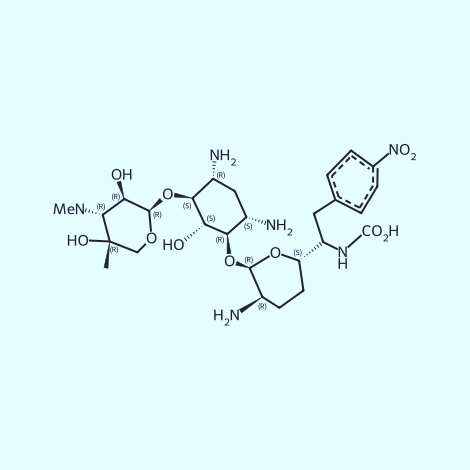 CN[C@@H]1[C@@H](O)[C@@H](O[C@@H]2[C@@H](O)[C@H](O[C@H]3O[C@H](C(Cc4ccc([N+](=O)[O-])cc4)NC(=O)O)CC[C@H]3N)[C@@H](N)C[C@H]2N)OC[C@]1(C)O